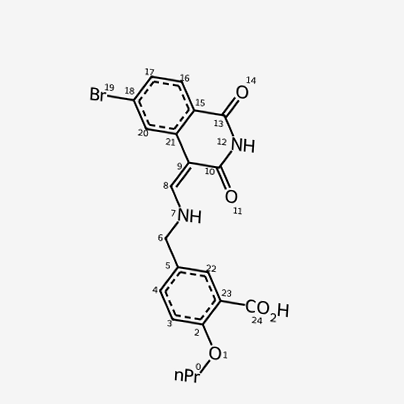 CCCOc1ccc(CN/C=C2\C(=O)NC(=O)c3ccc(Br)cc32)cc1C(=O)O